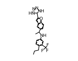 CCCc1ccc(NC(C)c2ccc3oc(C4NN=NN4)cc3c2)cc1C(F)(F)F